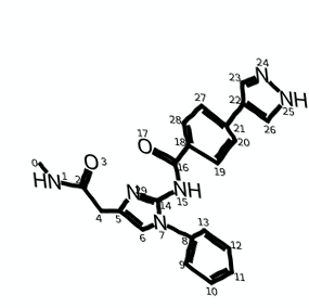 CNC(=O)Cc1cn(-c2ccccc2)c(NC(=O)c2ccc(-c3cn[nH]c3)cc2)n1